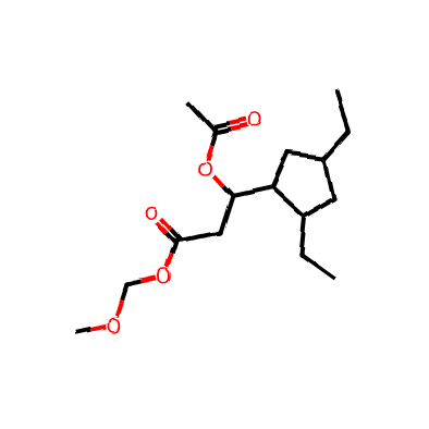 CCC1CC(CC)C(C(CC(=O)OCOC)OC(C)=O)C1